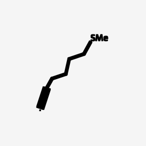 [C]#CCCCCSC